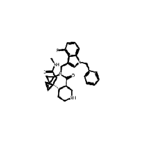 CNC(=O)CC1([C@H]2CCNC[C@@H]2C(=O)N(Cc2cn(Cc3ccccc3)c3cccc(F)c23)C2CC2)C=C1